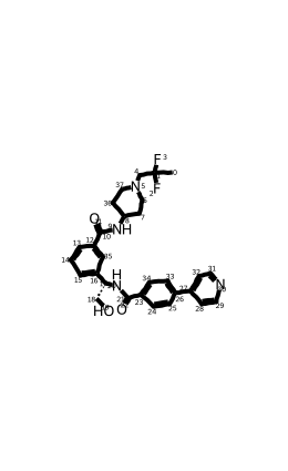 CC(F)(F)CN1CCC(NC(=O)c2cccc([C@@H](CO)NC(=O)c3ccc(-c4ccncc4)cc3)c2)CC1